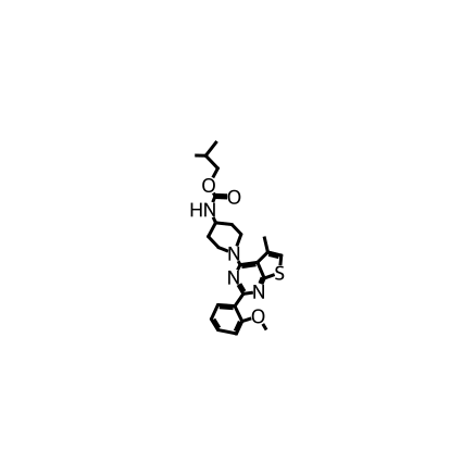 COc1ccccc1-c1nc(N2CCC(NC(=O)OCC(C)C)CC2)c2c(C)csc2n1